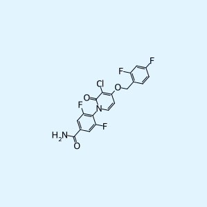 NC(=O)c1cc(F)c(-n2ccc(OCc3ccc(F)cc3F)c(Cl)c2=O)c(F)c1